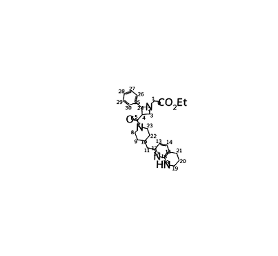 CCOC(=O)CN1CC(C(=O)N2CCC(Cc3ccc4c(n3)NCCC4)CC2)C1c1ccccc1